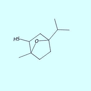 CC(C)C12CCC(C)(O1)C(S)C2